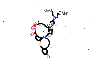 COCCN(CCOC)C1CN(C[C@]2(OC)/C=C/C[C@H](C)[C@@H](C)S(=O)(=O)NC(=O)c3ccc4c(c3)N(CCCCc3cc(Cl)ccc3CO4)C[C@@H]3CC[C@H]32)C1